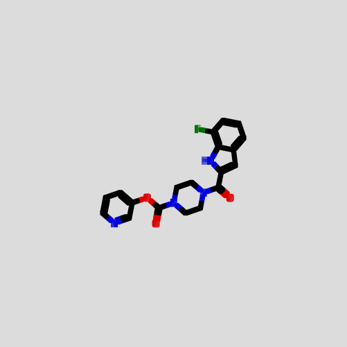 O=C(Oc1cccnc1)N1CCN(C(=O)c2cc3cccc(F)c3[nH]2)CC1